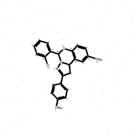 COc1ccc(C2=NN3C(C2)c2cc(OC)ccc2OC3c2ccccc2Cl)cc1